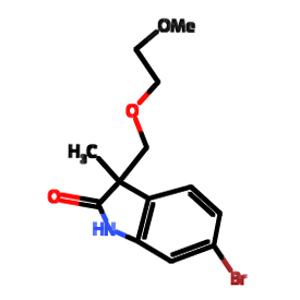 COCCOCC1(C)C(=O)Nc2cc(Br)ccc21